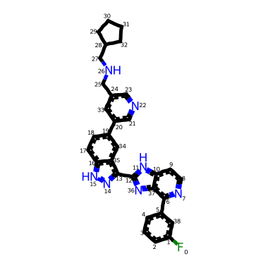 Fc1cccc(-c2nccc3[nH]c(-c4n[nH]c5ccc(-c6cncc(CNCC7CCCC7)c6)cc45)nc23)c1